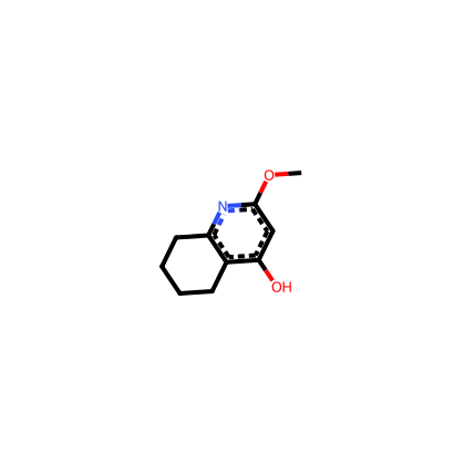 COc1cc(O)c2c(n1)CCCC2